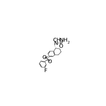 CN(C[C@@H]1CCCc2cc(S(=O)(=O)c3cccc(F)c3)ccc21)C(N)=O